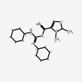 CC1SC=C(C(=N)SC(=NC2CCCCC2)NC2CCCCC2)N1C